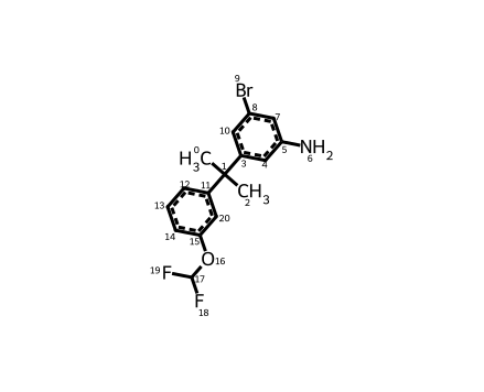 CC(C)(c1cc(N)cc(Br)c1)c1cccc(OC(F)F)c1